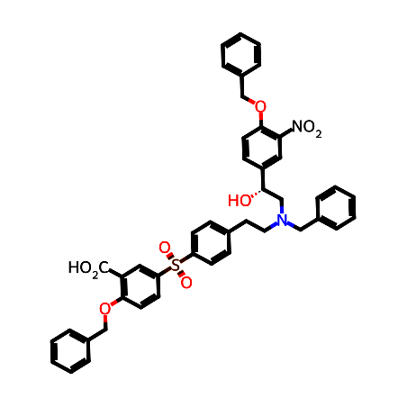 O=C(O)c1cc(S(=O)(=O)c2ccc(CCN(Cc3ccccc3)C[C@H](O)c3ccc(OCc4ccccc4)c([N+](=O)[O-])c3)cc2)ccc1OCc1ccccc1